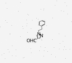 O=Cc1cnn(CCc2ccccc2)c1